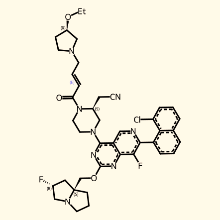 CCO[C@@H]1CCN(C/C=C/C(=O)N2CCN(c3nc(OC[C@@]45CCCN4C[C@H](F)C5)nc4c(F)c(-c5cccc6cccc(Cl)c56)ncc34)C[C@@H]2CC#N)C1